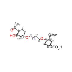 CCCC(=O)c1ccc(OC/C=C/COc2ccc(C(=O)O)cc2OC)c(C)c1O